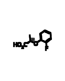 C[C@@H](Oc1ccccc1F)C(=O)O